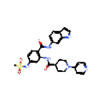 CS(=O)(=O)Nc1ccc(C(=O)Nc2ccc3cc[nH]c3c2)c(NC(=O)C2CCN(c3ccncc3)CC2)c1